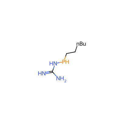 CCCCCCPNC(=N)N